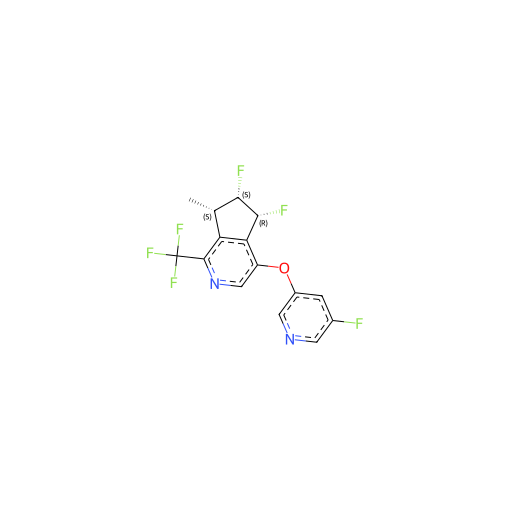 C[C@H]1c2c(C(F)(F)F)ncc(Oc3cncc(F)c3)c2[C@@H](F)[C@H]1F